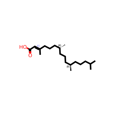 C/C(=C\C(=O)O)CCC[C@H](C)CCC[C@H](C)CCCC(C)C